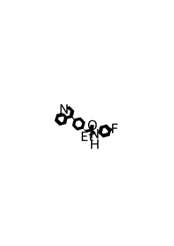 CCC(C(=O)Nc1ccc(F)cc1)[C@H]1CC[C@H](c2ccnc3ccccc32)CC1